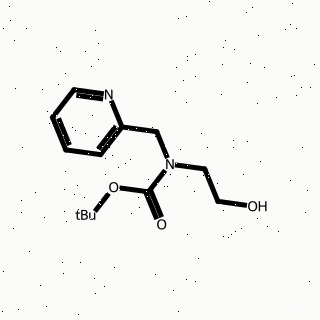 CC(C)(C)OC(=O)N(CCO)Cc1ccccn1